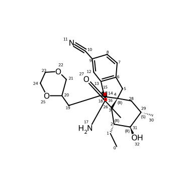 CC[C@@H]1C[C@@]2(Cc3ccc(C#N)cc3[C@]23N=C(N)N(CC2COCCO2)C3=O)C[C@H](C)[C@H]1O